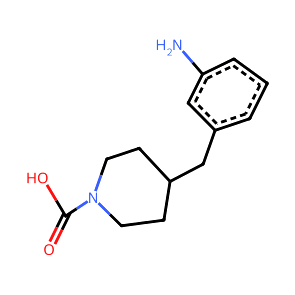 Nc1cccc(CC2CCN(C(=O)O)CC2)c1